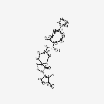 CC1=C(N2CCC3(CCN(CC(O)c4cnc(-n5cnnn5)nc4C)CC3)C2=O)COC1=O